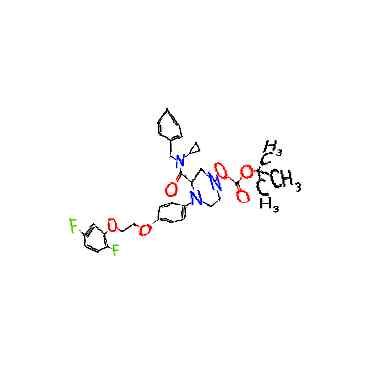 CC(C)(C)OC(=O)ON1CCN(c2ccc(OCCOc3cc(F)ccc3F)cc2)C(C(=O)N(Cc2ccccc2)C2CC2)C1